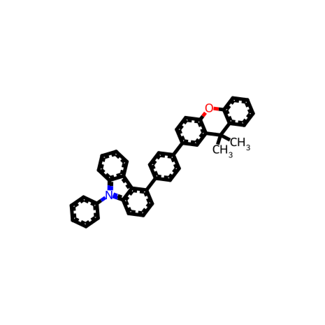 CC1(C)c2ccccc2Oc2ccc(-c3ccc(-c4cccc5c4c4ccccc4n5-c4ccccc4)cc3)cc21